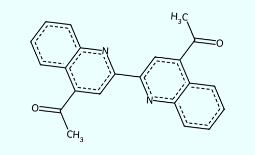 CC(=O)c1cc(-c2cc(C(C)=O)c3ccccc3n2)nc2ccccc12